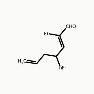 C=CCC(C=C(C=O)CC)CCC